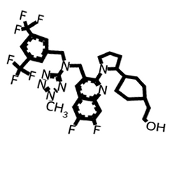 Cn1nnc(N(Cc2cc(C(F)(F)F)cc(C(F)(F)F)c2)Cc2cc3cc(F)c(F)cc3nc2N2CCCC2C2CCC(CCO)CC2)n1